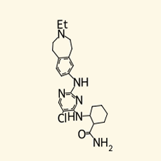 CCN1CCc2ccc(Nc3ncc(Cl)c(NC4CCCCC4C(N)=O)n3)cc2CC1